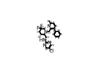 Cc1ccc(-c2ccccc2)c(CN2CC(F)(F)C[C@@H](C)C2CNc2ncc(Cl)cn2)n1